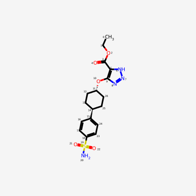 CCOC(=O)c1[nH]nnc1O[C@H]1CC[C@H](c2ccc(S(N)(=O)=O)cc2)CC1